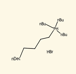 Br.CCCCCCCCCCCCCC[PH](CCCC)(CCCC)CCCC